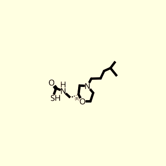 CC(C)CCCN1CCO[C@H](CNC(=O)S)C1